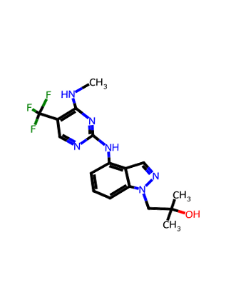 CNc1nc(Nc2cccc3c2cnn3CC(C)(C)O)ncc1C(F)(F)F